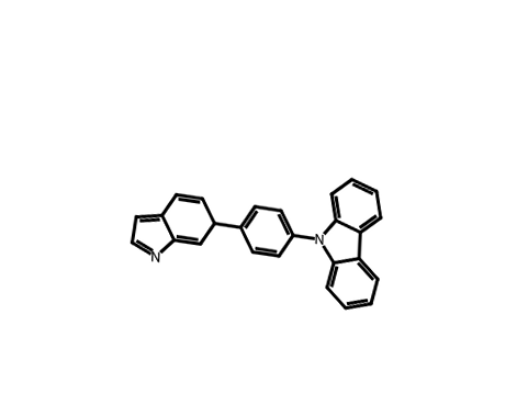 C1=CC(c2ccc(-n3c4ccccc4c4ccccc43)cc2)C=C2N=CC=C12